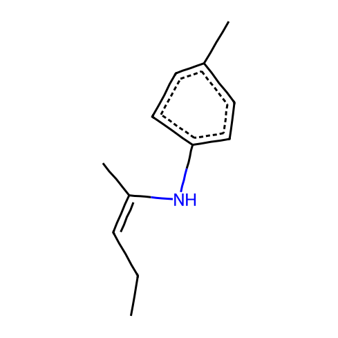 CC/C=C(/C)Nc1ccc(C)cc1